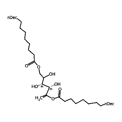 C=C(OC(=O)CCCCCCCCCCCCCCCCC)[C@@H](O)[C@H](O)C(O)COC(=O)CCCCCCCCCCCCCCCCC